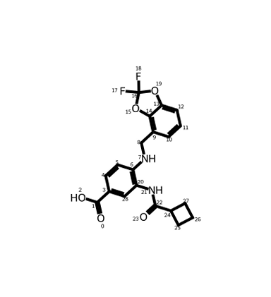 O=C(O)c1ccc(NCc2cccc3c2OC(F)(F)O3)c(NC(=O)C2CCC2)c1